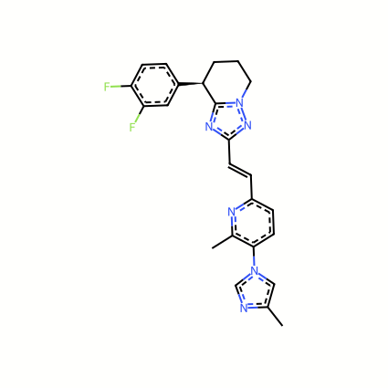 Cc1cn(-c2ccc(/C=C/c3nc4n(n3)CCC[C@@H]4c3ccc(F)c(F)c3)nc2C)cn1